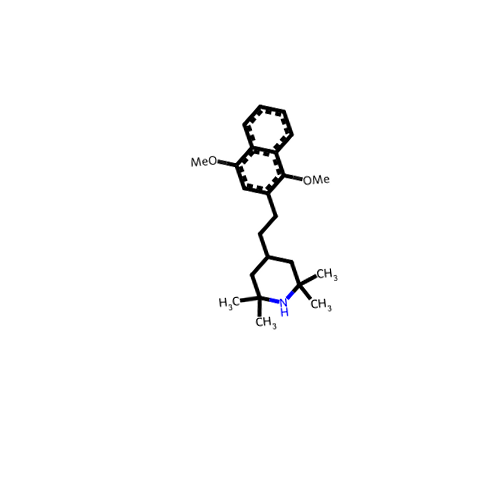 COc1cc(CCC2CC(C)(C)NC(C)(C)C2)c(OC)c2ccccc12